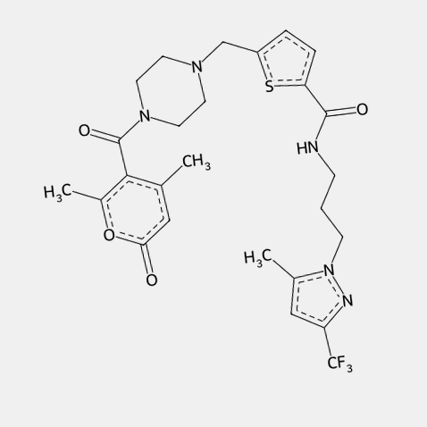 Cc1cc(=O)oc(C)c1C(=O)N1CCN(Cc2ccc(C(=O)NCCCn3nc(C(F)(F)F)cc3C)s2)CC1